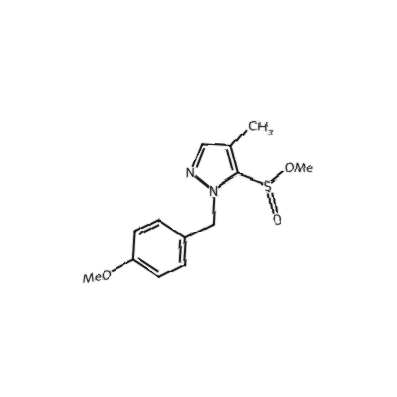 COc1ccc(Cn2ncc(C)c2S(=O)OC)cc1